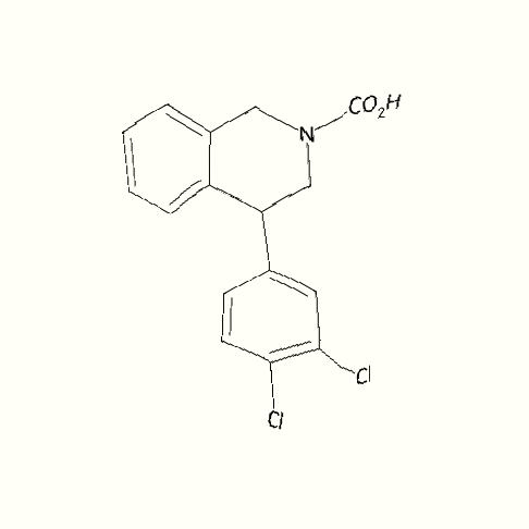 O=C(O)N1Cc2ccccc2C(c2ccc(Cl)c(Cl)c2)C1